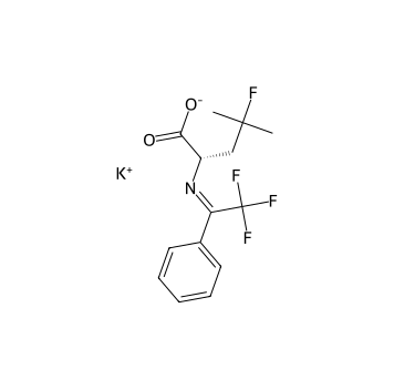 CC(C)(F)C[C@H](N=C(c1ccccc1)C(F)(F)F)C(=O)[O-].[K+]